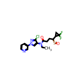 CCN(C(=O)CCC([S+]=O)C1CC1(F)F)c1cn(-c2cccnc2)nc1Cl